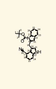 CC(C)(C)OC(=O)n1c(Cc2c[nH]c3cccc(C#N)c23)cc2ccccc21